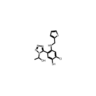 CC(O)n1nnnc1-c1cc(S)c(Cl)cc1NCc1cccs1